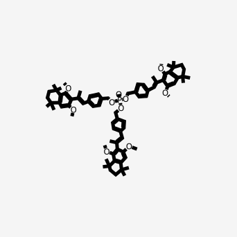 COc1cc2c(c(OC)c1/C(C)=C/c1ccc(COP(=O)(OCc3ccc(/C=C(\C)c4c(OC)cc5c(c4OC)C(C)(C)CCC5(C)C)cc3)OCc3ccc(/C=C(\C)c4c(OC)cc5c(c4OC)C(C)(C)CCC5(C)C)cc3)cc1)C(C)(C)CCC2(C)C